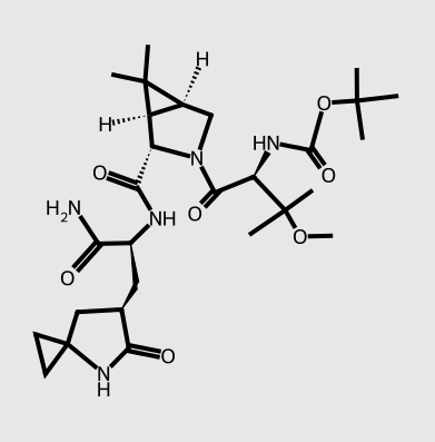 COC(C)(C)[C@H](NC(=O)OC(C)(C)C)C(=O)N1C[C@H]2[C@@H]([C@H]1C(=O)N[C@@H](C[C@@H]1CC3(CC3)NC1=O)C(N)=O)C2(C)C